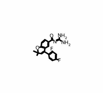 CC1(C)C=C(c2ccc(F)cc2F)c2cc(C(=O)N=C(N)N)ccc2O1